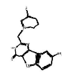 Bc1ccc2oc3c(=O)[nH]c(CN4CCCC(F)C4)nc3c2c1